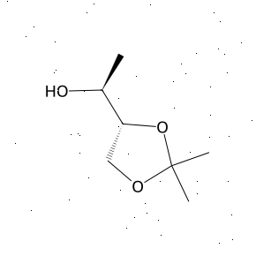 C[C@H](O)[C@H]1COC(C)(C)O1